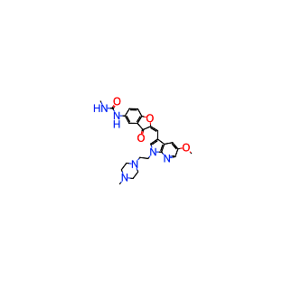 CNC(=O)Nc1ccc2c(c1)C(=O)C(=Cc1cn(CCN3CCN(C)CC3)c3ncc(OC)cc13)O2